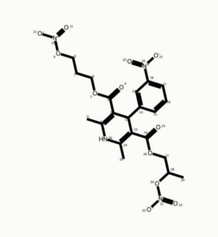 CC1=C(C(=O)OCCCO[N+](=O)[O-])C(c2cccc([N+](=O)[O-])c2)C(C(=O)OCC(C)O[N+](=O)[O-])=C(C)N1